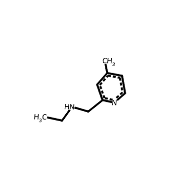 CCNCc1cc(C)ccn1